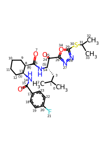 CC(C)C[C@H](NC(=O)[C@@H]1CCCC[C@@H]1NC(=O)c1ccc(F)cc1)C(=O)c1nnc(SC(C)C)o1